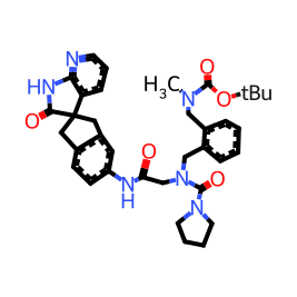 CN(Cc1ccccc1CN(CC(=O)Nc1ccc2c(c1)CC1(C2)C(=O)Nc2ncccc21)C(=O)N1CCCC1)C(=O)OC(C)(C)C